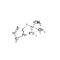 CC(C)(C)Cc1c[c]on1